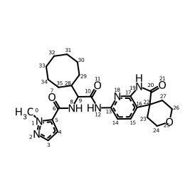 Cn1nccc1C(=O)NC(C(=O)Nc1ccc2c(n1)NC(=O)C21CCOCC1)C1CCCCCCC1